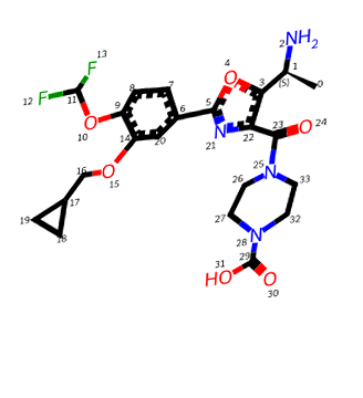 C[C@H](N)c1oc(-c2ccc(OC(F)F)c(OCC3CC3)c2)nc1C(=O)N1CCN(C(=O)O)CC1